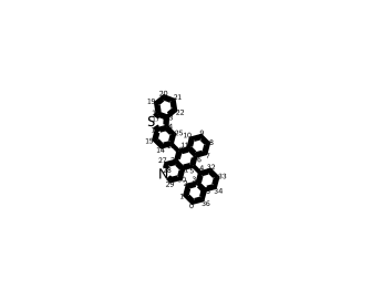 c1ccc2c(-c3c4ccccc4c(-c4ccc5sc6ccccc6c5c4)c4cnccc34)cccc2c1